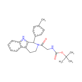 Cc1ccc(C2c3[nH]c4ccccc4c3CCN2C(=O)CNC(=O)OC(C)(C)C)cc1